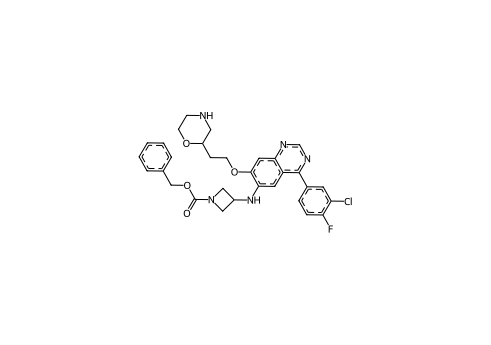 O=C(OCc1ccccc1)N1CC(Nc2cc3c(-c4ccc(F)c(Cl)c4)ncnc3cc2OCCC2CNCCO2)C1